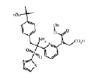 CCCCC(C)(C)c1ccc(CC(N)(c2cccc(N(CC(=O)O)C(=O)OC(C)(C)C)n2)S(=O)(=O)c2nccs2)cc1